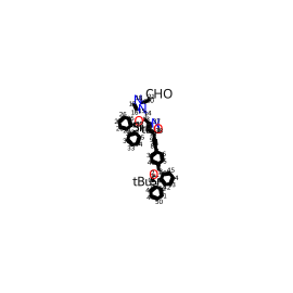 CC(C)(C)[Si](OCc1ccc(C#Cc2cc([C@@H](Cn3ccnc3CC=O)O[Si](c3ccccc3)(c3ccccc3)C(C)(C)C)no2)cc1)(c1ccccc1)c1ccccc1